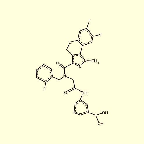 Cn1nc(C(=O)N(CC(=O)Nc2cccc(C(O)O)c2)Cc2ccccc2F)c2c1-c1cc(F)c(F)cc1OC2